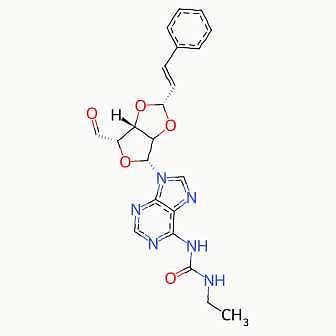 CCNC(=O)Nc1ncnc2c1ncn2[C@@H]1O[C@H](C=O)[C@@H]2O[C@H](/C=C/c3ccccc3)OC21